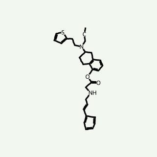 CCCN(CCc1cccs1)C1CCc2c(cccc2OC(=O)CNCC=Cc2ccccc2)C1